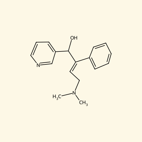 CN(C)C/C=C(\c1ccccc1)C(O)c1cccnc1